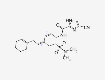 CN(C)S(=O)(=O)CCC(/C=C\CNC(=O)c1nc(C#N)c[nH]1)=C/CC1=CCCCC1